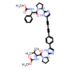 COC(=O)N[C@H](C(=O)N1CCC[C@H]1c1ncc(C#CC#Cc2ccc(-c3cnc([C@@H]4CCCN4C(=O)[C@@H](NC(=O)OC)C(C)C)[nH]3)cc2)[nH]1)c1ccccc1